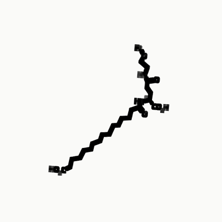 CCOCCNC(=O)CC[C@H](NC(=O)CCCCCCCCCCCCCCC(=O)O)C(=O)O